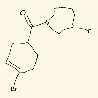 O=C(C1CC=C(Br)CC1)N1CC[C@H](F)C1